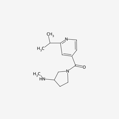 CNC1CCN(C(=O)c2ccnc(C(C)C)c2)C1